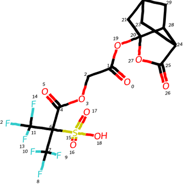 O=C(COC(=O)C(C(F)(F)F)(C(F)(F)F)S(=O)(=O)O)OC12CC3CC(C(=O)O1)C2C3